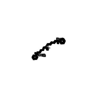 CC(C=O)(CCCCC[S+]([O-])CCCCCC(C)(C=O)c1ccccc1)c1ccccc1